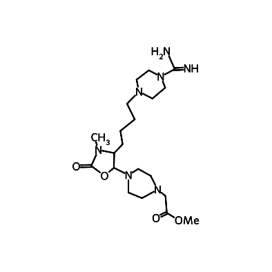 COC(=O)CN1CCN(C2OC(=O)N(C)C2CCCCN2CCN(C(=N)N)CC2)CC1